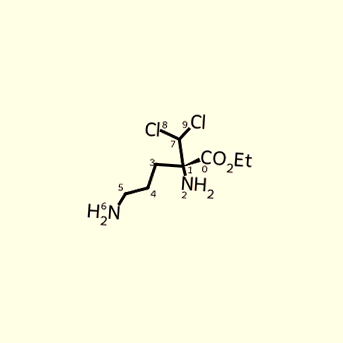 CCOC(=O)[C@@](N)(CCCN)C(Cl)Cl